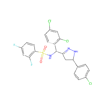 O=S(=O)(NC(C1=NNC(c2ccc(Cl)cc2)C1)c1ccc(Cl)cc1Cl)c1ccc(F)cc1F